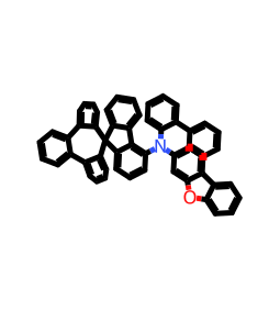 c1ccc(-c2ccccc2N(c2ccc3c(c2)oc2ccccc23)c2cccc3c2-c2ccccc2C32c3ccccc3-c3ccccc3-c3ccccc32)cc1